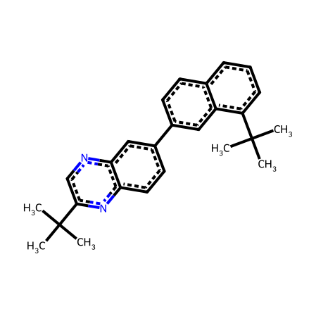 CC(C)(C)c1cnc2cc(-c3ccc4cccc(C(C)(C)C)c4c3)ccc2n1